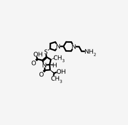 CC(O)[C@H]1C(=O)N2C(C(=O)O)=C(S[C@@H]3CCN(C4CCN(CCN)CC4)C3)[C@H](C)[C@H]12